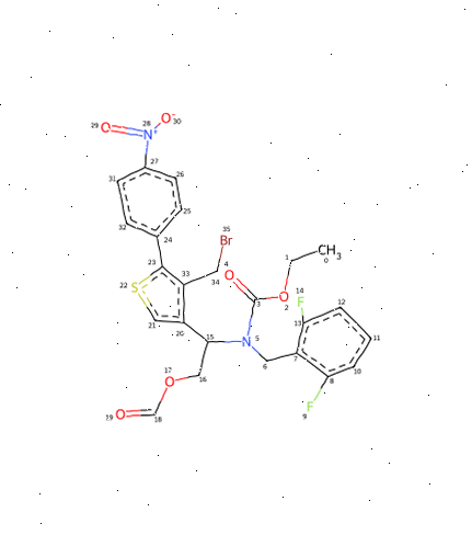 CCOC(=O)N(Cc1c(F)cccc1F)C(COC=O)c1csc(-c2ccc([N+](=O)[O-])cc2)c1CBr